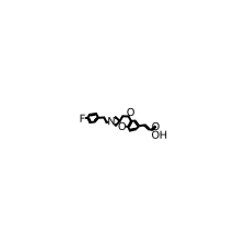 O=C(O)C=Cc1ccc2c(c1)C(=O)CC1(CN(CCc3ccc(F)cc3)C1)O2